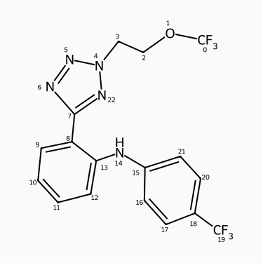 FC(F)(F)OCCn1nnc(-c2ccccc2Nc2ccc(C(F)(F)F)cc2)n1